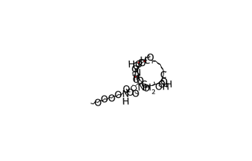 CCCOCCOCCOCCOCCNC(=O)O[C@@H]1CC[C@@H](C[C@@H](N)[C@@H]2CC(=O)[C@H](C)/C=C(\C)[C@@H](O)[C@@H](O)C(=O)[C@H](C)C[C@H](C)/C=C/C=C/C=C(\C)[C@@H](OC)C[C@@H]3CC[C@@H](C)[C@@](O)(O3)C(=O)C(=O)N3CCCC[C@H]3C(=O)O2)C[C@H]1OC